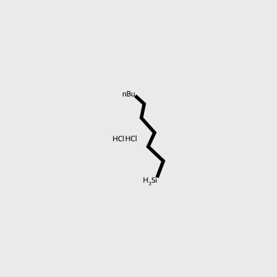 CCCCCCCCC[SiH3].Cl.Cl